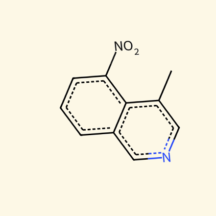 Cc1cncc2cccc([N+](=O)[O-])c12